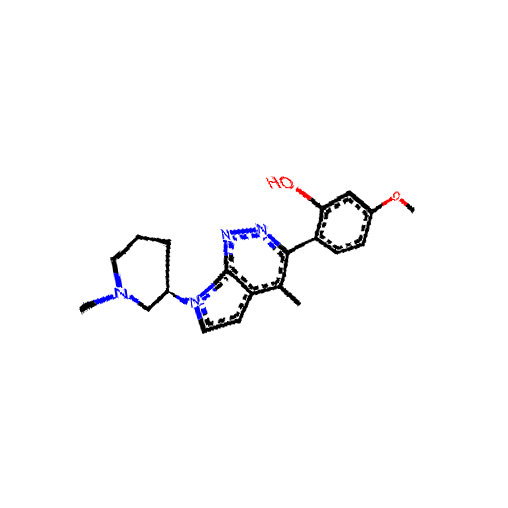 COc1ccc(-c2nnc3c(ccn3[C@@H]3CCCN(C)C3)c2C)c(O)c1